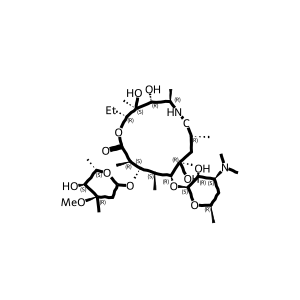 CC[C@H]1OC(=O)[C@H](C)[C@@H](OC2C[C@@](C)(OC)[C@@H](O)[C@H](C)O2)[C@H](C)[C@@H](O[C@@H]2O[C@H](C)C[C@H](N(C)C)[C@H]2O)[C@](C)(O)C[C@@H](C)CN[C@H](C)[C@@H](O)[C@]1(C)O